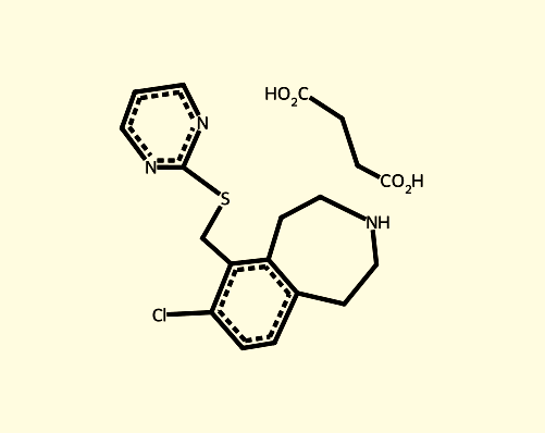 Clc1ccc2c(c1CSc1ncccn1)CCNCC2.O=C(O)CCC(=O)O